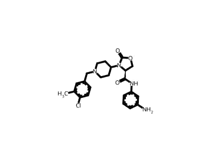 Cc1cc(CN2CCC(N3C(=O)OC[C@H]3C(=O)Nc3cccc(N)c3)CC2)ccc1Cl